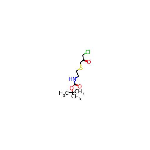 CC(C)(C)OC(=O)NCCSCC(=O)CCl